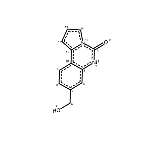 O=c1[nH]c2cc(CO)ccc2c2cccn12